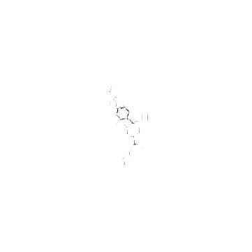 CCCOC(=O)C1CCC(O)(c2ccc(OCCC)cc2)CC1